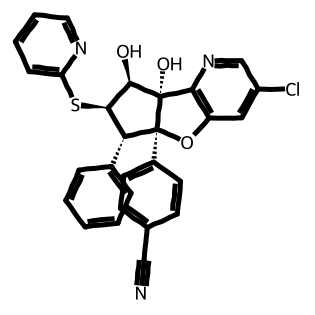 N#Cc1ccc([C@@]23Oc4cc(Cl)cnc4[C@]2(O)[C@H](O)[C@H](Sc2ccccn2)[C@H]3c2ccccc2)cc1